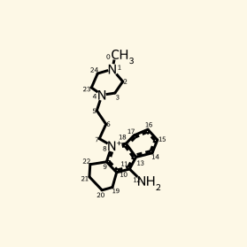 CN1CCN(CCC[n+]2c3c(c(N)c4ccccc42)CCCC3)CC1